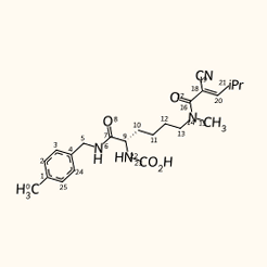 Cc1ccc(CNC(=O)[C@H](CCCCN(C)C(=O)C(C#N)=CC(C)C)NC(=O)O)cc1